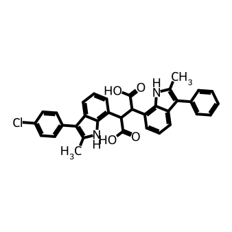 Cc1[nH]c2c(C(C(=O)O)C(C(=O)O)c3cccc4c(-c5ccc(Cl)cc5)c(C)[nH]c34)cccc2c1-c1ccccc1